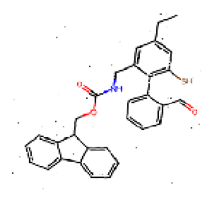 CCc1cc(S)c(-c2ccccc2C=O)c(CNC(=O)OCC2c3ccccc3-c3ccccc32)c1